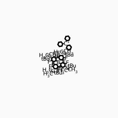 CC(C)(C)[Si](C)(C)c1c(F)c(F)c([B-](c2c(F)c(F)c([Si](C)(C)C(C)(C)C)c(F)c2F)(c2c(F)c(F)c([Si](C)(C)C(C)(C)C)c(F)c2F)c2c(F)c(F)c([Si](C)(C)C(C)(C)C)c(F)c2F)c(F)c1F.c1ccc([C+](c2ccccc2)c2ccccc2)cc1